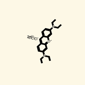 CCN(CC)c1ccc2cc3ccc(N(CC)CC)cc3[o+]c2c1.[Cl-].[Cl-].[Cl-].[Zn+2]